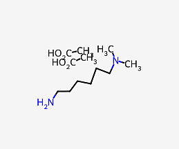 CC(=O)O.CC(=O)O.CN(C)CCCCCCN